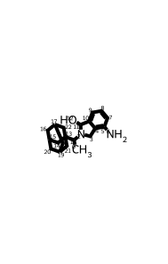 CC(N1Cc2c(N)cccc2C1O)C12CC3CC(CC(C3)C1)C2